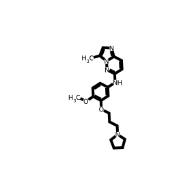 COc1ccc(Nc2ccc3ncc(C)n3n2)cc1OCCCN1CCCC1